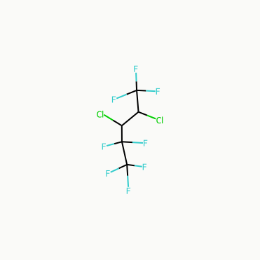 FC(F)(F)C(Cl)C(Cl)C(F)(F)C(F)(F)F